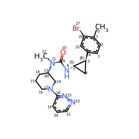 Cc1ccc([C@H]2C[C@@H]2NC(=O)N(C)[C@@H]2CCCN(c3cccnn3)C2)cc1Br